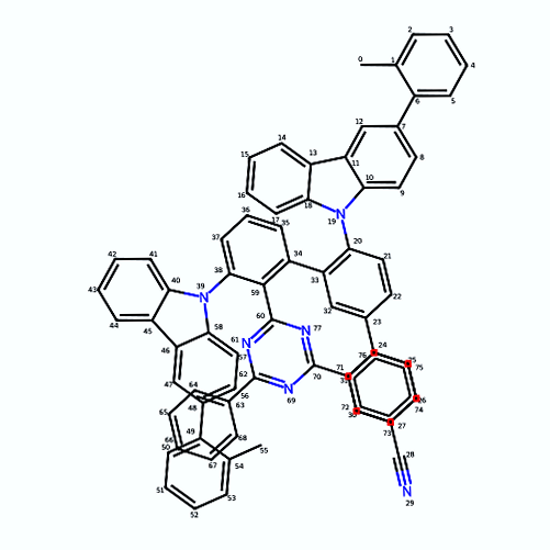 Cc1ccccc1-c1ccc2c(c1)c1ccccc1n2-c1ccc(-c2ccc(C#N)cc2)cc1-c1cccc(-n2c3ccccc3c3cc(-c4ccccc4C)ccc32)c1-c1nc(-c2ccccc2)nc(-c2ccccc2)n1